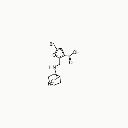 O=C(O)c1cc(Br)oc1CNC1CN2CCC1CC2